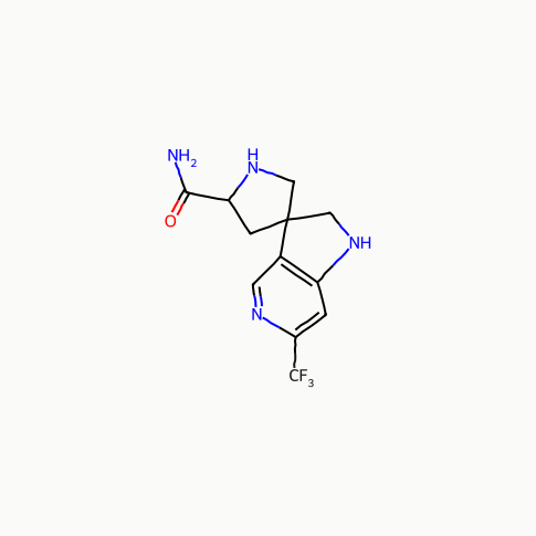 NC(=O)C1CC2(CNc3cc(C(F)(F)F)ncc32)CN1